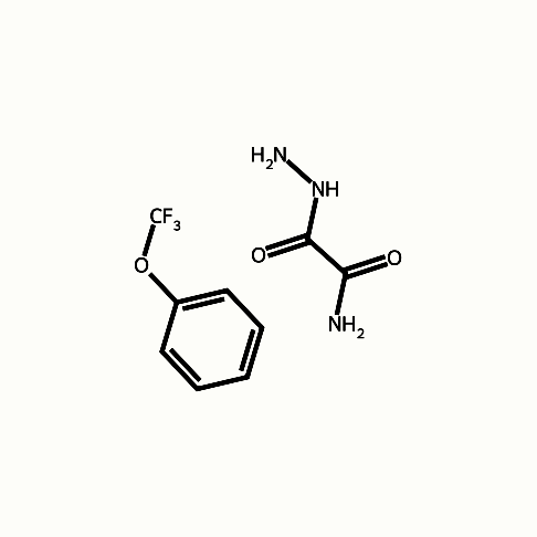 FC(F)(F)Oc1ccccc1.NNC(=O)C(N)=O